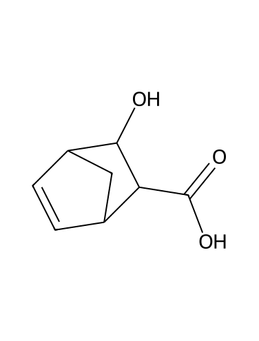 O=C(O)C1C2C=CC(C2)C1O